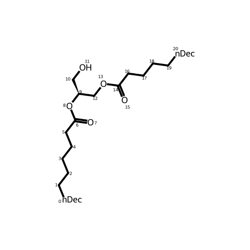 CCCCCCCCCCCCCCCC(=O)O[C@@H](CO)COC(=O)CCCCCCCCCCCCCC